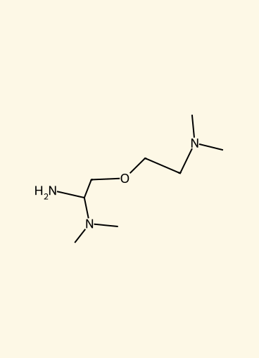 CN(C)CCOCC(N)N(C)C